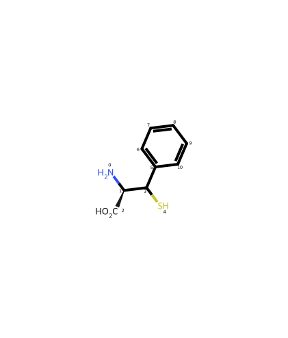 N[C@H](C(=O)O)C(S)c1ccccc1